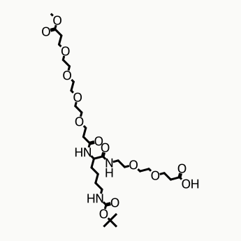 COC(=O)CCOCCOCCOCCOCCC(=O)NC(CCCCNC(=O)OC(C)(C)C)C(=O)NCCOCCOCCC(=O)O